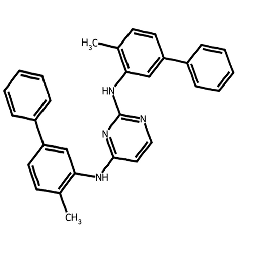 Cc1ccc(-c2ccccc2)cc1Nc1ccnc(Nc2cc(-c3ccccc3)ccc2C)n1